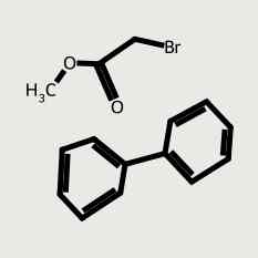 COC(=O)CBr.c1ccc(-c2ccccc2)cc1